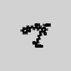 COC(=O)CSCCCSC1C(=O)C[C@@H](CO)[C@@H]1C=CC(O)CCc1cc2ccccc2s1